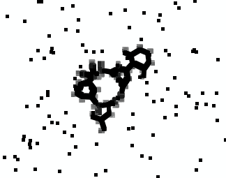 CC1=C(c2cc3nc(n2)NS(=O)(=O)c2cccc(c2)N[C@H](CC(C)C)CO3)C(C)CCC1